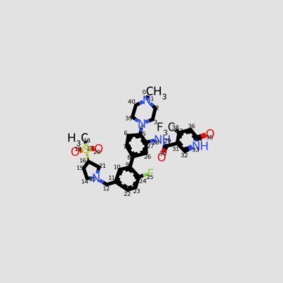 CN1CCN(c2ccc(-c3cc(CN4CC[C@@H](S(C)(=O)=O)C4)ccc3F)cc2NC(=O)c2c[nH]c(=O)cc2C(F)(F)F)CC1